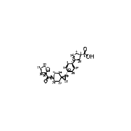 O=C(O)C1CSC(c2ccc([C@@H]3CC34CCN(C(=O)[C@H]3CCCO3)CC4)cc2)C1